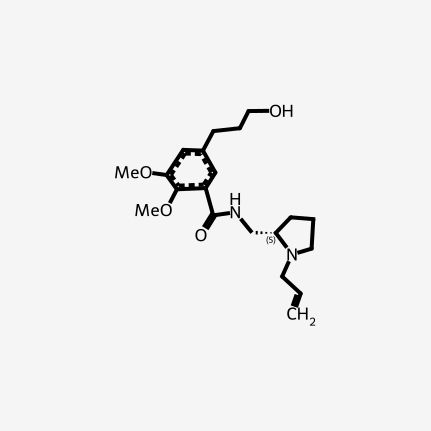 C=CCN1CCC[C@H]1CNC(=O)c1cc(CCCO)cc(OC)c1OC